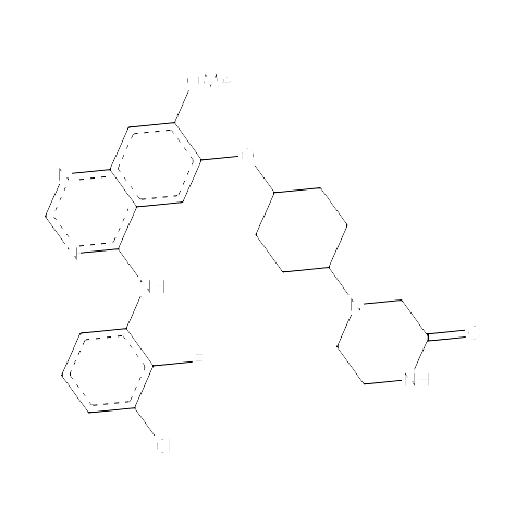 COc1cc2ncnc(Nc3cccc(Cl)c3F)c2cc1OC1CCC(N2CCNC(=O)C2)CC1